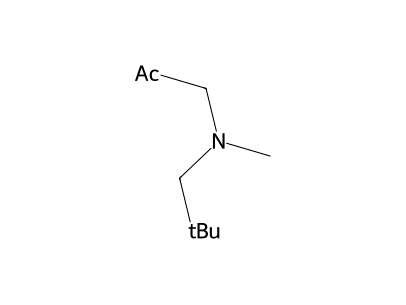 CC(=O)CN(C)CC(C)(C)C